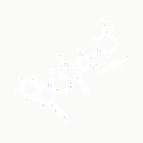 CC#CCn1c(N2CCC[C@@H](N)C2)nc2c1C(=O)N(Cc1nc3ccccc3cc1C#N)C(O)N2C